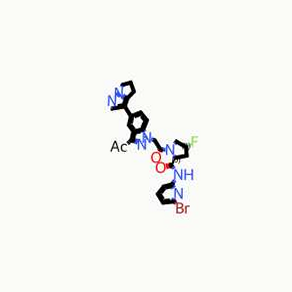 CC(=O)c1nn(CC(=O)N2C[C@H](F)C[C@H]2C(=O)Nc2cccc(Br)n2)c2ccc(-c3cnn4c3CCC4)cc12